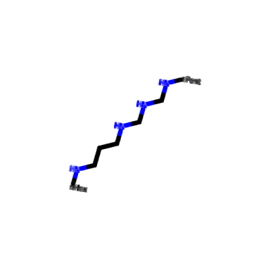 CCCCCCNCCCNCNCNCCCCC